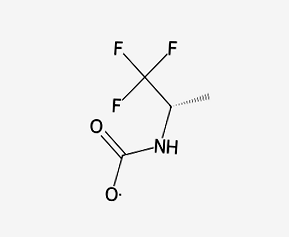 C[C@H](NC([O])=O)C(F)(F)F